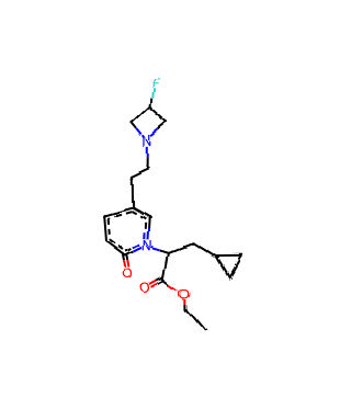 CCOC(=O)C(CC1CC1)n1cc(CCN2CC(F)C2)ccc1=O